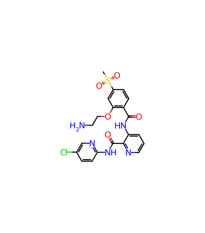 CS(=O)(=O)c1ccc(C(=O)Nc2cccnc2C(=O)Nc2ccc(Cl)cn2)c(OCCN)c1